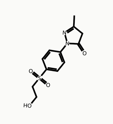 CC1=NN(c2ccc(S(=O)(=O)CCO)cc2)C(=O)C1